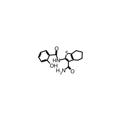 NC(=O)c1c(NC(=O)c2ccccc2O)sc2c1CCCC2